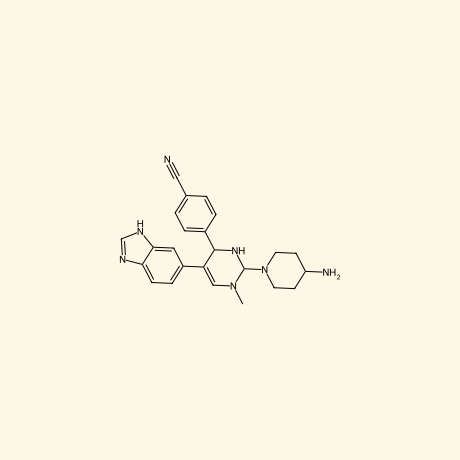 CN1C=C(c2ccc3nc[nH]c3c2)C(c2ccc(C#N)cc2)NC1N1CCC(N)CC1